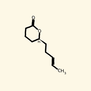 CC=CCC[C@H]1CCCC(=O)O1